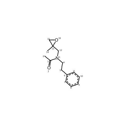 CC(=O)N(CCc1ccccc1)CC1(C)CO1